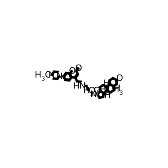 CN1CCN(c2ccc3c(CCNCCO/N=C4/CC[C@H]5[C@@H]6CC[C@H]7CC(=O)CC[C@]7(C)[C@H]6CC[C@]45C)cc(=O)oc3c2)CC1